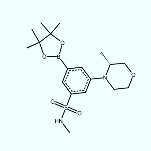 CNS(=O)(=O)c1cc(B2OC(C)(C)C(C)(C)O2)cc(N2CCOC[C@H]2C)c1